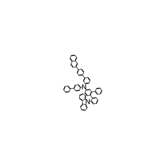 c1ccc(-c2ccc(N(c3cccc(-c4ccc(-c5ccc6ccccc6c5)cc4)c3)c3ccc(-c4ccccc4-n4c5ccccc5c5ccccc54)c(-c4ccccc4)c3)cc2)cc1